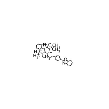 CC(C)(C)c1c2cc(-c3ccc(-c4nc5ccccc5o4)cc3)ccc2c(C(C)(C)C)c2c1ccc1cccnc12